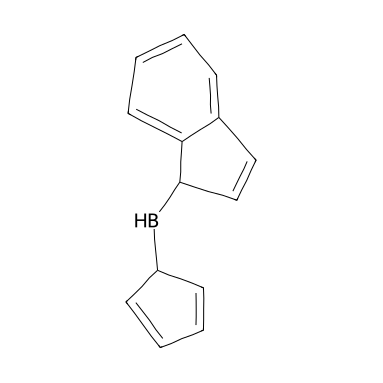 B(C1C=CC=C1)C1C=Cc2ccccc21